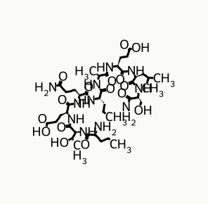 CCC[C@H](NC(=O)[C@H](CCC(N)=O)NC(=O)[C@H](CCC(=O)O)NC(=O)[C@@H](NC(=O)[C@@H](N)CCC)[C@@H](C)O)C(=O)N[C@@H](C)C(=O)N[C@@H](CCC(=O)O)C(=O)N[C@@H](CC(C)C)C(=O)N[C@H](CO)C(N)=O